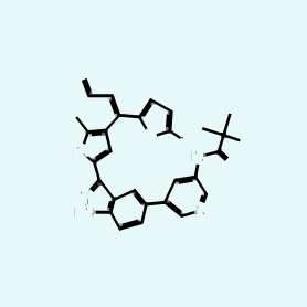 C=C/C=C(/c1ccc(F)s1)c1cc(-c2n[nH]c3ccc(-c4cncc(NC(=O)C(C)(C)C)c4)cc23)[nH]c1C